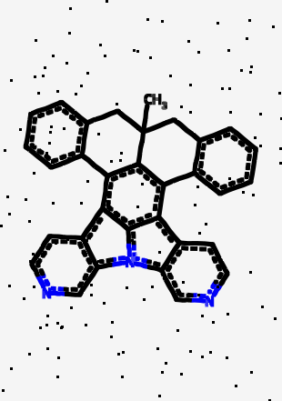 CC12Cc3ccccc3-c3c1c(c1c4ccncc4n4c5cnccc5c3c14)-c1ccccc1C2